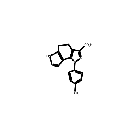 Cc1ccc(-n2nc(C(=O)O)c3c2-c2cn[nH]c2CC3)cc1